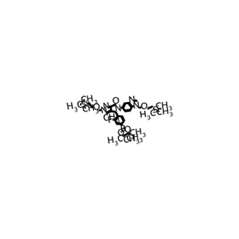 Cc1c2c(nn1COCC[Si](C)(C)C)C(=O)N(c1ccc3c(c1)ncn3COCC[Si](C)(C)C)C2c1ccc(B2OC(C)(C)C(C)(C)O2)cc1F